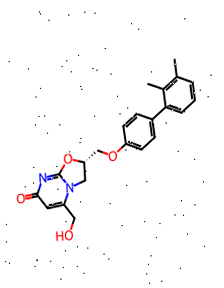 Cc1cccc(-c2ccc(OC[C@@H]3Cn4c(CO)cc(=O)nc4O3)cc2)c1C